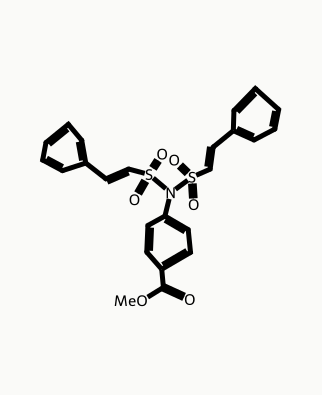 COC(=O)c1ccc(N(S(=O)(=O)/C=C/c2ccccc2)S(=O)(=O)/C=C/c2ccccc2)cc1